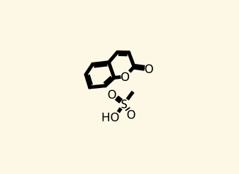 CS(=O)(=O)O.O=c1ccc2ccccc2o1